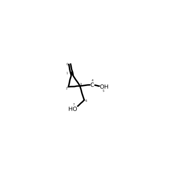 C=C1CC1(CO)CO